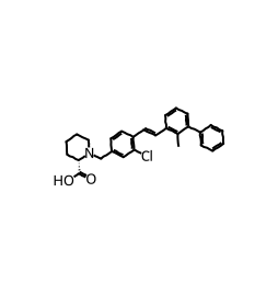 Cc1c(/C=C/c2ccc(CN3CCCC[C@H]3C(=O)O)cc2Cl)cccc1-c1ccccc1